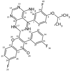 CC(C)Oc1ccc(C(=N)c2c(N)ncnc2NCc2oc3ccc(F)cc3c(=O)c2-c2cccc(F)c2)cc1F